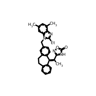 CCc1nc2c(C)cc(C)cc2n1Cc1ccc2c(c1)CCc1ccccc1C2=C(C)c1noc(=O)[nH]1